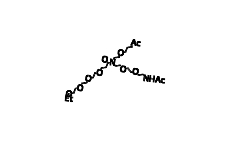 CCOCCOCCOCCOCCC(=O)N(CCOCCCC(C)=O)CCOCCOCCNC(C)=O